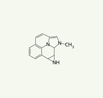 CN1C=C2C=Cc3cccc4c3N2C1C1NC41